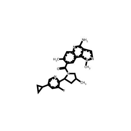 Cc1cc2nc(N)c3cnn(C)c3c2cc1C(=O)N1CC(C)CC1c1ncc(C2CC2)cc1F